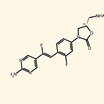 CC(=O)NC[C@H]1CN(c2ccc(C=C(F)c3cnc(N)nc3)c(F)c2)C(=O)O1